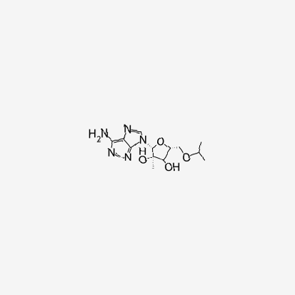 CC(C)OC[C@H]1O[C@@H](n2cnc3c(N)ncnc32)[C@](C)(O)[C@@H]1O